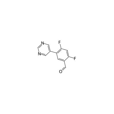 O=Cc1cc(-c2cncnc2)c(F)cc1F